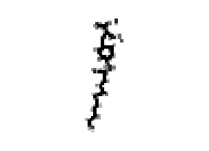 NC(Cc1ccc(NC(=O)CCCCCCCCCl)cc1)C(=O)O